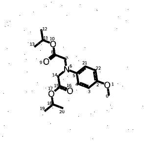 COc1ccc(N(CC(=O)OC(C)C)CC(=O)OC(C)C)cc1